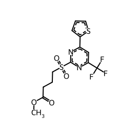 COC(=O)CCCS(=O)(=O)c1nc(-c2cccs2)cc(C(F)(F)F)n1